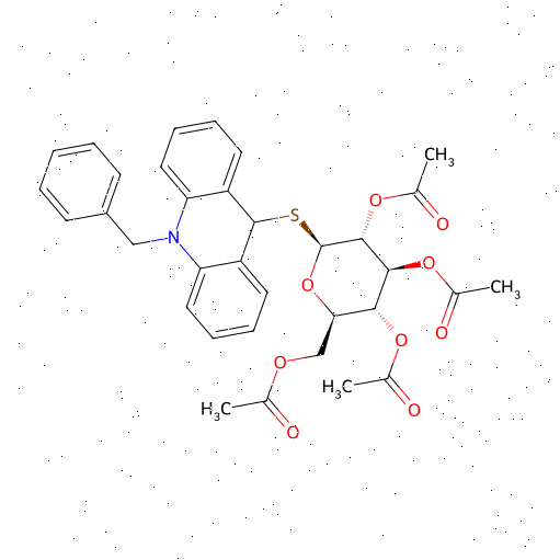 CC(=O)OC[C@H]1O[C@@H](SC2c3ccccc3N(Cc3ccccc3)c3ccccc32)[C@H](OC(C)=O)[C@@H](OC(C)=O)[C@@H]1OC(C)=O